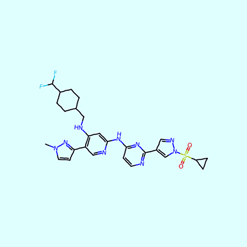 Cn1ccc(-c2cnc(Nc3ccnc(-c4cnn(S(=O)(=O)C5CC5)c4)n3)cc2NCC2CCC(C(F)F)CC2)n1